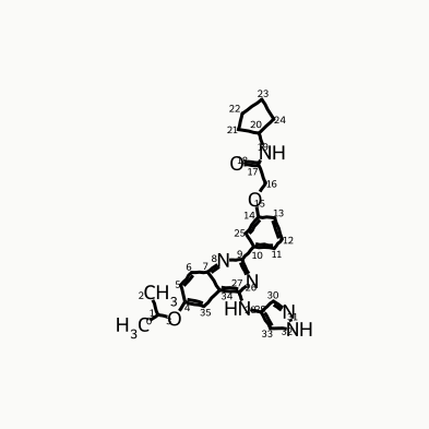 CC(C)Oc1ccc2nc(-c3cccc(OCC(=O)NC4CCCC4)c3)nc(Nc3cn[nH]c3)c2c1